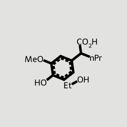 CCCC(C(=O)O)c1ccc(O)c(OC)c1.CCO